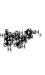 CC(OP(=O)(O)OC[C@H]1O[C@@H](n2cnc3c(N)ncnc32)C(F)C1OC[PH](=O)O)[C@@H](OC(O)F)n1cnc2c(=O)[nH]cnc21